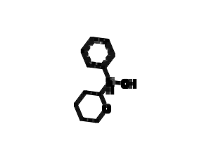 O[SiH](c1ccccc1)C1CCCCO1